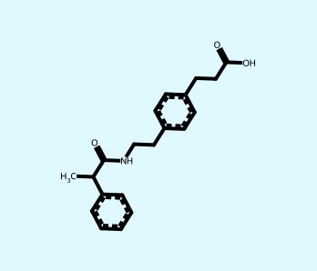 CC(C(=O)NCCc1ccc(CCC(=O)O)cc1)c1ccccc1